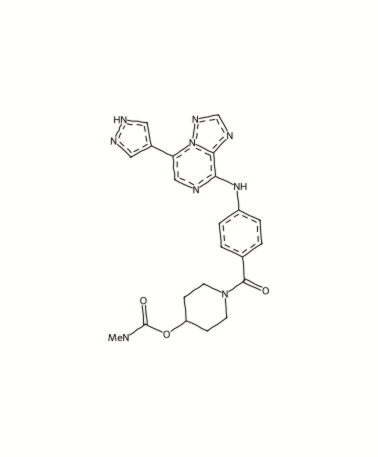 CNC(=O)OC1CCN(C(=O)c2ccc(Nc3ncc(-c4cn[nH]c4)n4ncnc34)cc2)CC1